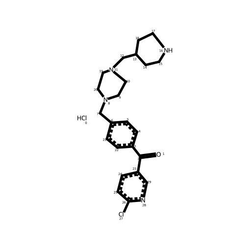 Cl.O=C(c1ccc(CN2CCN(CC3CCNCC3)CC2)cc1)c1ccc(Cl)nc1